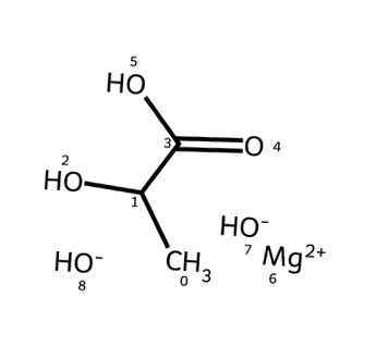 CC(O)C(=O)O.[Mg+2].[OH-].[OH-]